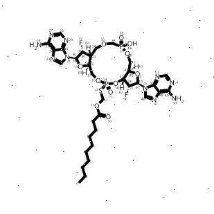 CCCCCCCCCC(=O)OCSP1(=O)OC[C@H]2O[C@@H](n3cnc4c(N)ncnc43)[C@H](F)[C@@H]2COCP(=O)(O)OC[C@H]2O[C@@H](n3cnc4c(N)ncnc43)[C@H](F)[C@@H]2O1